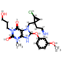 Cn1c2c(c(=O)n(CCCO)c1=O)N(CC1(CC=N)C=C1Cl)C(Oc1cccc(OC(F)(F)F)c1)N2